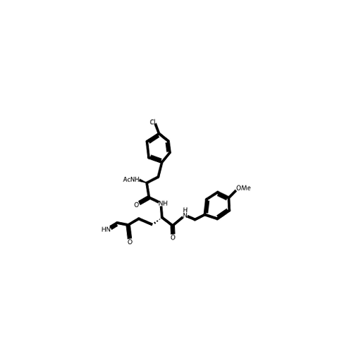 COc1ccc(CNC(=O)[C@H](CCC(=O)C=N)NC(=O)[C@H](Cc2ccc(Cl)cc2)NC(C)=O)cc1